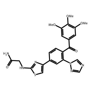 COc1cc(C(=O)c2ccc(-c3csc(NCC(N)=O)n3)cc2-n2cncn2)cc(OC)c1OC